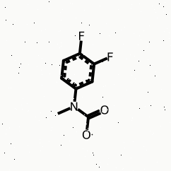 CN(C([O])=O)c1ccc(F)c(F)c1